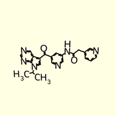 CC(C)n1cc(C(=O)c2cncc(NC(=O)Cc3cccnc3)c2)c2cncnc21